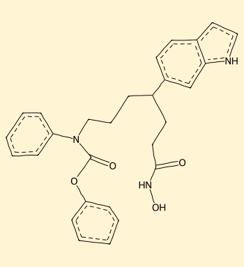 O=C(CCC(CCCN(C(=O)Oc1ccccc1)c1ccccc1)c1ccc2cc[nH]c2c1)NO